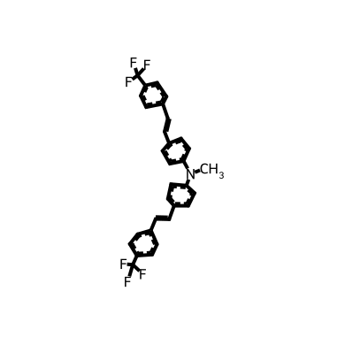 CN(c1ccc(/C=C/c2ccc(C(F)(F)F)cc2)cc1)c1ccc(/C=C/c2ccc(C(F)(F)F)cc2)cc1